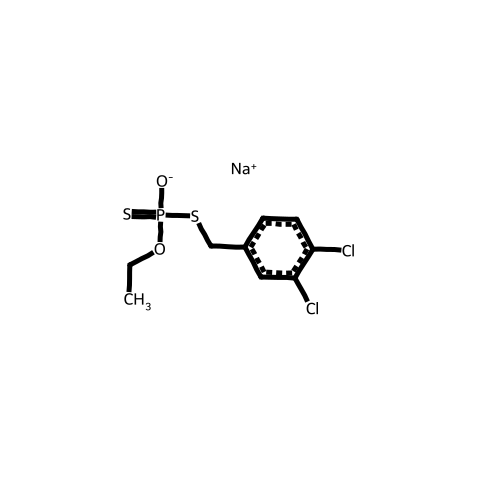 CCOP([O-])(=S)SCc1ccc(Cl)c(Cl)c1.[Na+]